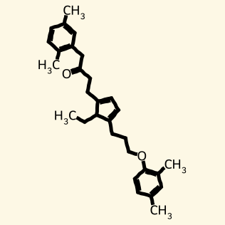 CCC1C(CCCOc2ccc(C)cc2C)=CC=C1CCC(=O)Cc1cc(C)ccc1C